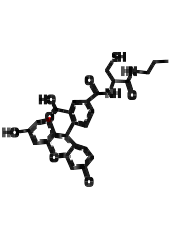 CCCNC(=O)C(CS)NC(=O)c1ccc(-c2c3ccc(=O)cc-3oc3cc(O)ccc23)c(C(=O)O)c1